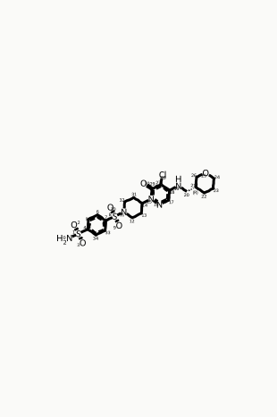 NS(=O)(=O)c1ccc(S(=O)(=O)N2CCC(n3ncc(NC[C@H]4CCCOC4)c(Cl)c3=O)CC2)cc1